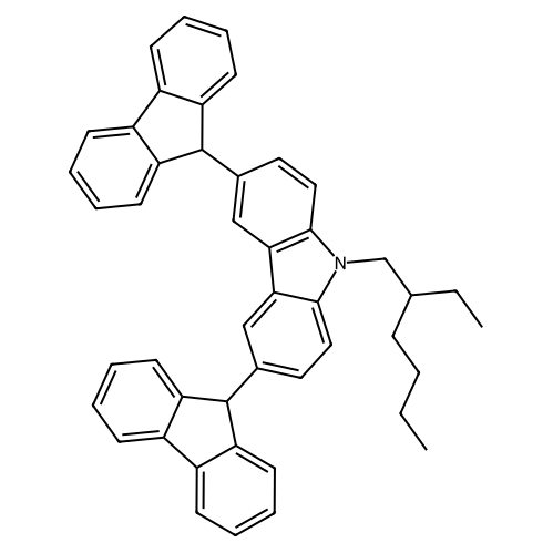 CCCCC(CC)Cn1c2ccc(C3c4ccccc4-c4ccccc43)cc2c2cc(C3c4ccccc4-c4ccccc43)ccc21